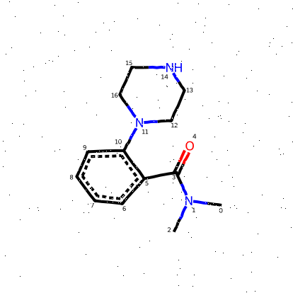 CN(C)C(=O)c1ccccc1N1CCNCC1